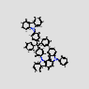 c1ccc(-n2c3ccccc3c3c2ccc2c4ccccc4n(-c4ccc([Si](c5ccccc5)(c5ccccc5)c5ccc(-n6c7ccccc7c7ccccc76)cc5)cc4)c23)cc1